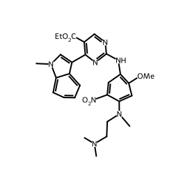 CCOC(=O)c1cnc(Nc2cc([N+](=O)[O-])c(N(C)CCN(C)C)cc2OC)nc1-c1cn(C)c2ccccc12